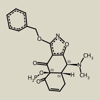 CN(C)[C@@H]1c2onc(OCc3ccccc3)c2C(=O)[C@@]2(OP)C(=O)C=CC[C@@H]12